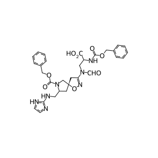 O=CN(CC(NC(=O)OCc1ccccc1)C(=O)O)C1=NO[C@]2(C1)CC(CNc1ncc[nH]1)N(C(=O)OCc1ccccc1)C2